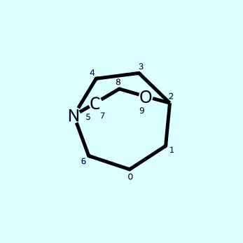 C1CC2CCN(C1)CCO2